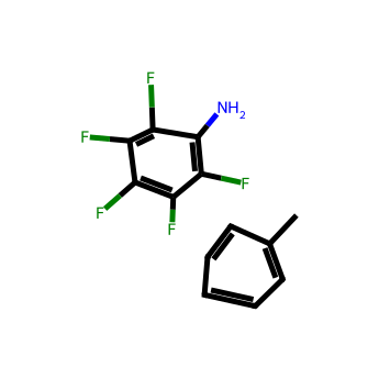 Cc1ccccc1.Nc1c(F)c(F)c(F)c(F)c1F